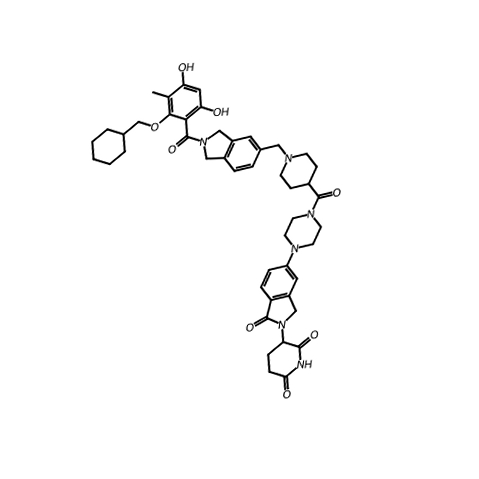 Cc1c(O)cc(O)c(C(=O)N2Cc3ccc(CN4CCC(C(=O)N5CCN(c6ccc7c(c6)CN(C6CCC(=O)NC6=O)C7=O)CC5)CC4)cc3C2)c1OCC1CCCCC1